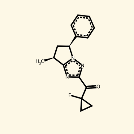 C[C@H]1C[C@@H](c2ccccc2)n2nc(C(=O)C3(F)CC3)nc21